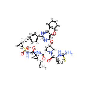 C=C[C@@H]1C[C@]1(NC(=O)[C@@H]1C[C@@H](Oc2nc(-c3ccc(C(F)(F)F)cc3)nc3c2oc2ccccc23)CN1C(=O)C(NC(N)=S)C(C)(C)C)C(=O)NS(=O)(=O)C1CC1